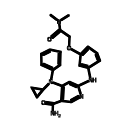 CN(C)C(=O)COc1cccc(Nc2cc(N(c3ccccc3)C3CC3)c(C(N)=O)cn2)c1